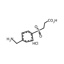 Cl.NCc1ccc(S(=O)(=O)CCC(=O)O)cc1